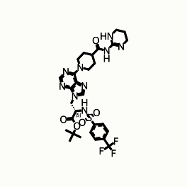 CC(C)(C)OC(=O)[C@H](Cn1cnc2c(N3CCC(C(=O)NC4=NCCCN4)CC3)ncnc21)NS(=O)(=O)c1ccc(C(F)(F)F)cc1